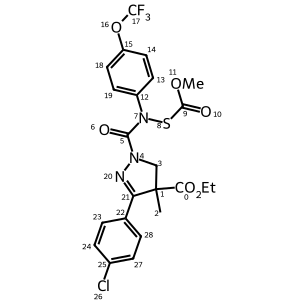 CCOC(=O)C1(C)CN(C(=O)N(SC(=O)OC)c2ccc(OC(F)(F)F)cc2)N=C1c1ccc(Cl)cc1